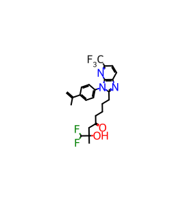 C=C(C)c1ccc(-n2c(CCCCC(=O)CC(C)(O)C(F)F)nc3ccc(C(F)(F)F)nc32)cc1